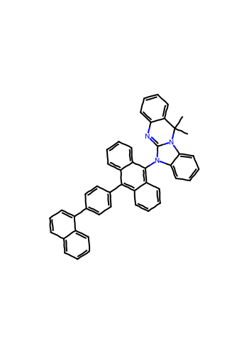 CC1(C)c2ccccc2N=C2N(c3c4ccccc4c(-c4ccc(-c5cccc6ccccc56)cc4)c4ccccc34)c3ccccc3N21